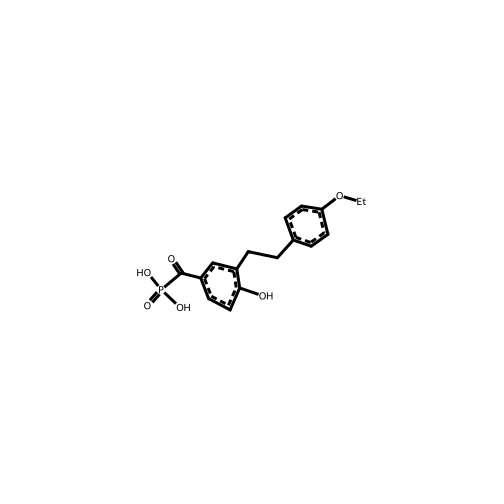 CCOc1ccc(CCc2cc(C(=O)P(=O)(O)O)ccc2O)cc1